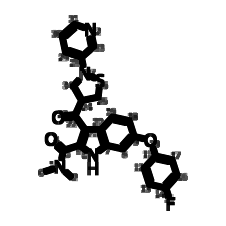 CN(C)C(=O)c1[nH]c2cc(Oc3ccc(F)cc3)ccc2c1C(=O)C1CSN(c2cccnc2)C1